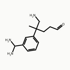 CC([CH]N)(CCC=O)c1cccc(C(N)N)c1